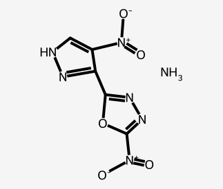 N.O=[N+]([O-])c1nnc(-c2n[nH]cc2[N+](=O)[O-])o1